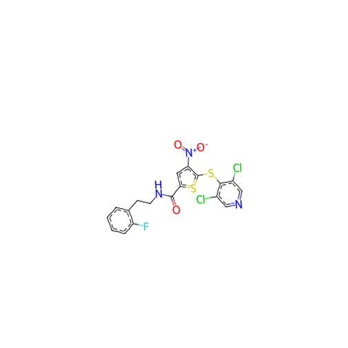 O=C(NCCc1ccccc1F)c1cc([N+](=O)[O-])c(Sc2c(Cl)cncc2Cl)s1